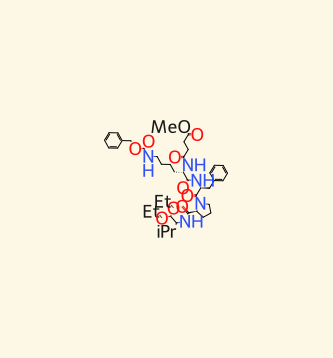 CCOC(OCC)[C@@H](NC(=O)[C@@H]1CCCN1C(=O)[C@H](Cc1ccccc1)NC(=O)[C@H](CCCCNC(=O)OCc1ccccc1)NC(=O)CCC(=O)OC)C(C)C